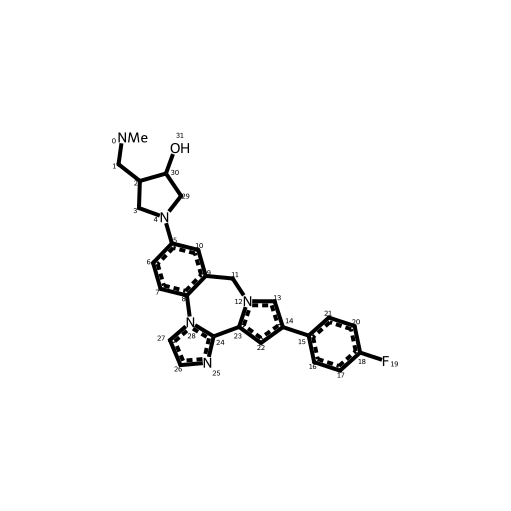 CNCC1CN(c2ccc3c(c2)Cn2cc(-c4ccc(F)cc4)cc2-c2nccn2-3)CC1O